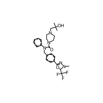 CN1N=C(c2ccc(CN(C(=O)N3CCN(CC(C)(C)O)CC3)c3ccccc3)cc2)OC1C(F)(F)F